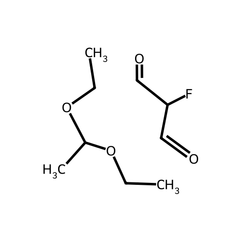 CCOC(C)OCC.O=CC(F)C=O